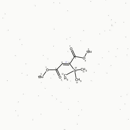 CC(C)(C)OC(=O)/C=C(/C(=O)OC(C)(C)C)[Si](C)(C)C